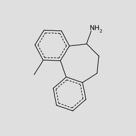 Cc1cccc2c1-c1ccccc1CCC2N